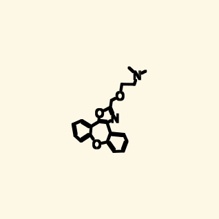 CN(C)CCOCc1nc2c(o1)-c1ccccc1Oc1ccccc1-2